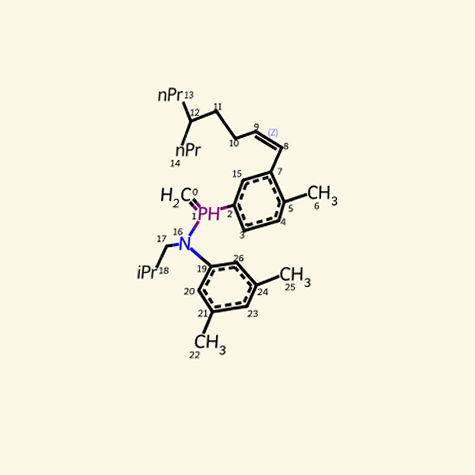 C=[PH](c1ccc(C)c(/C=C\CCC(CCC)CCC)c1)N(CC(C)C)c1cc(C)cc(C)c1